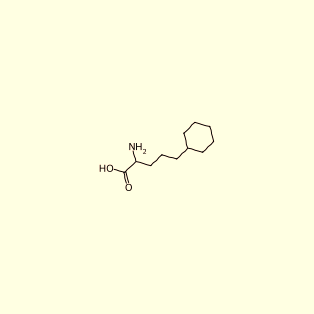 NC(CCCC1CCCCC1)C(=O)O